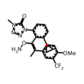 COc1ccc(/C(C)=C(/ON)c2c(C3CC3)cccc2-n2nnn(C)c2=O)cc1C(F)(F)F